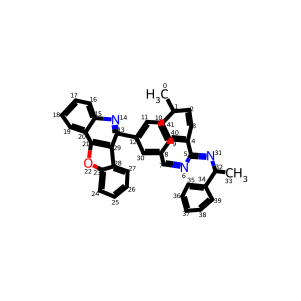 CC1C=CC(C(/N=C\c2cccc(-c3nc4ccccc4c4oc5ccccc5c34)c2)=N/C(C)c2ccccc2)=CC1